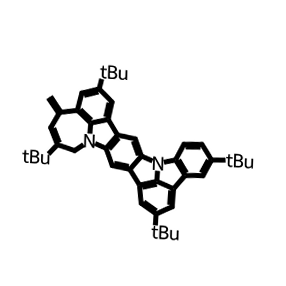 C=C1C=C(C(C)(C)C)Cn2c3cc4c5cc(C(C)(C)C)cc6c7cc(C(C)(C)C)ccc7n(c4cc3c3cc(C(C)(C)C)cc1c32)c65